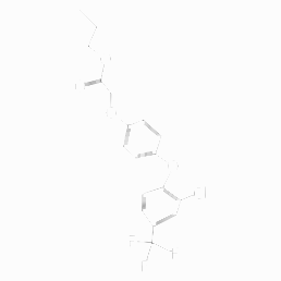 CCCOC(=O)COc1ccc(Oc2ccc(C(F)(F)F)cc2Cl)cc1